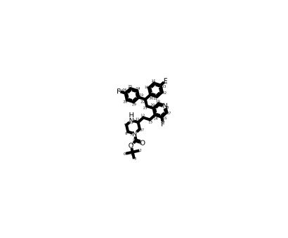 CC(C)(C)OC(=O)N1CCNC(CCc2c(F)cncc2CC(c2ccc(F)cc2)c2ccc(F)cc2)C1